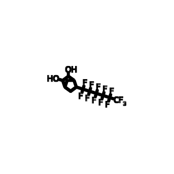 OC1C2CC(C1O)C(C(F)(F)C(F)(F)C(F)(F)C(F)(F)C(F)(F)C(F)(F)F)C2